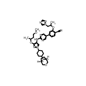 COCCC(C)Oc1nn(C2CCC(N3[C@@H]4CC[C@H]3COC4)CC2)cc1Nc1ncc(-c2ccc(C#N)c(OC(C)Cn3cncn3)c2)cn1